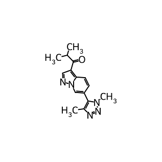 Cc1nnn(C)c1-c1ccc2c(C(=O)C(C)C)cnn2c1